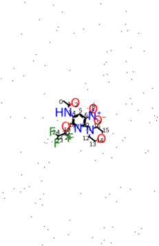 CC(=O)Nc1cc([N+](=O)[O-])c(N2CCOCC2)nc1OC(F)C(F)F